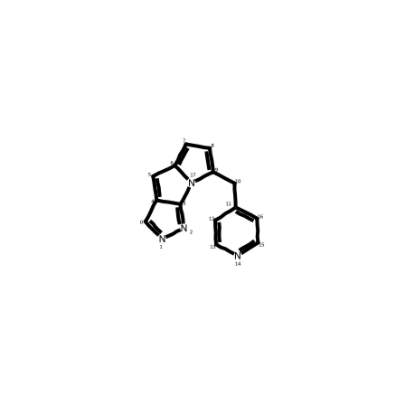 C1=NN=c2c1cc1ccc(Cc3ccncc3)n21